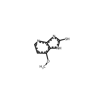 COc1ccnc2nc(S)[nH]c12